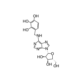 OC[C@H]1O[C@@H](n2cnc3c(NCc4ccc(O)c(O)c4O)ncnc32)[C@H](O)[C@@H]1O